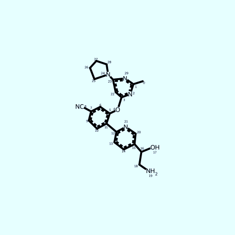 Cc1nc(Oc2cc(C#N)ccc2-c2ccc(C(O)CN)cn2)cc(N2CCCC2)n1